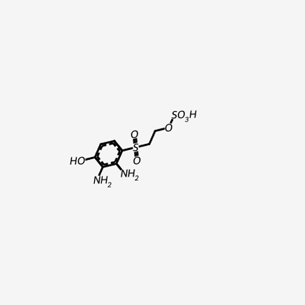 Nc1c(O)ccc(S(=O)(=O)CCOS(=O)(=O)O)c1N